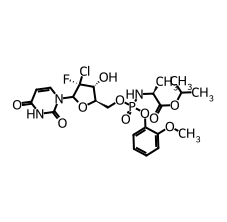 COc1ccccc1OP(=O)(N[C@@H](C)C(=O)OC(C)C)OC[C@H]1OC(n2ccc(=O)[nH]c2=O)[C@@](F)(Cl)[C@@H]1O